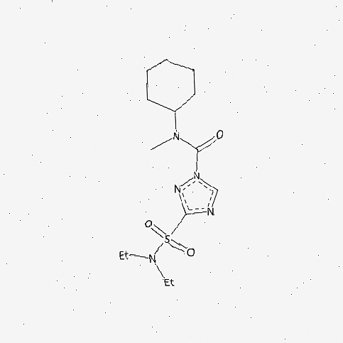 CCN(CC)S(=O)(=O)c1ncn(C(=O)N(C)C2CCCCC2)n1